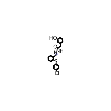 O=C(Cc1cccc(O)c1)N/N=C/c1ccccc1Sc1ccc(Cl)cc1